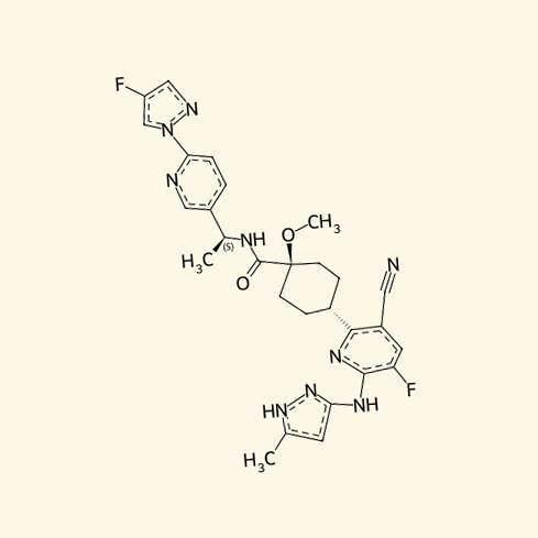 CO[C@]1(C(=O)N[C@@H](C)c2ccc(-n3cc(F)cn3)nc2)CC[C@@H](c2nc(Nc3cc(C)[nH]n3)c(F)cc2C#N)CC1